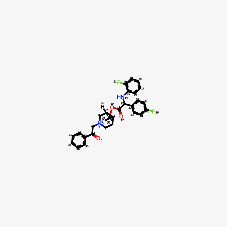 O=C(C[N+]12CCC(CC1)[C@@H](OC(=O)C(Nc1ccccc1F)c1ccc(F)cc1)C2)c1ccccc1